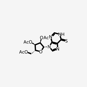 CC(=O)OC[C@H]1O[C@@H](n2cnc3c(=S)[nH]cnc32)[C@H](OC(C)=O)[C@@H]1OC(C)=O